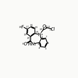 O=C1Nc2ccccc2N(C2OC2Cl)c2ccc(F)cc21